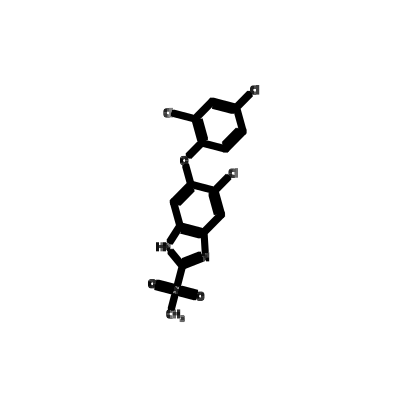 CS(=O)(=O)c1nc2cc(Cl)c(Oc3ccc(Cl)cc3Cl)cc2[nH]1